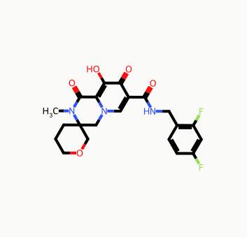 CN1C(=O)c2c(O)c(=O)c(C(=O)NCc3ccc(F)cc3F)cn2CC12CCCOC2